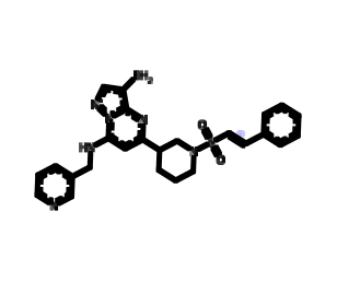 Bc1cnn2c(NCc3cccnc3)cc(C3CCCN(S(=O)(=O)/C=C/c4ccccc4)C3)nc12